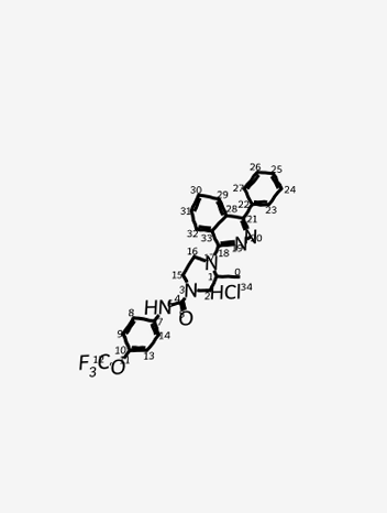 CC1CN(C(=O)Nc2ccc(OC(F)(F)F)cc2)CCN1c1nnc(-c2ccccc2)c2ccccc12.Cl